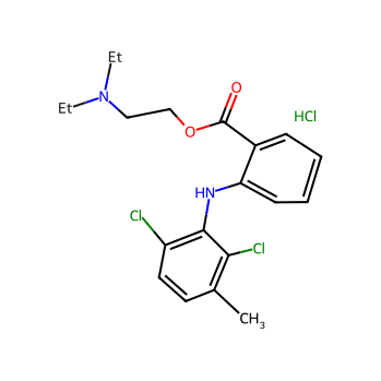 CCN(CC)CCOC(=O)c1ccccc1Nc1c(Cl)ccc(C)c1Cl.Cl